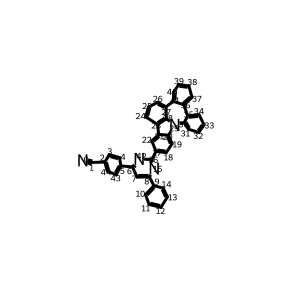 N#Cc1ccc(-c2cc(-c3ccccc3)nc(-c3ccc4c(c3)c3cccc5c3n4-c3ccccc3-c3ccccc3-5)n2)cc1